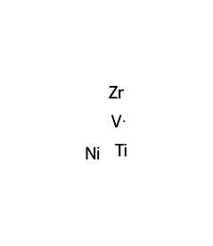 [Ni].[Ti].[V].[Zr]